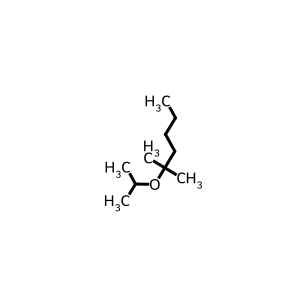 CCCCC(C)(C)OC(C)C